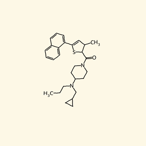 CCCN(CC1CC1)C1CCN(C(=O)C2SC(c3cccc4ccccc34)=CC2C)CC1